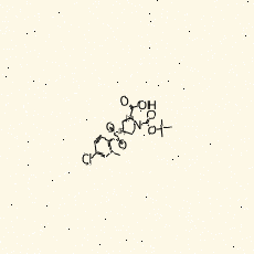 Cc1cc(Cl)ccc1S(=O)(=O)[C@@H]1C[C@@H](C(=O)O)N(C(=O)OC(C)(C)C)C1